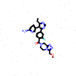 CCc1ncnc(-c2ccc(C(=O)N3CCn4c(COC)nnc4C3)c(F)c2)c1-c1ccc(N)nc1